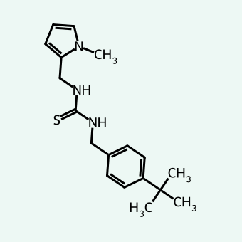 Cn1cccc1CNC(=S)NCc1ccc(C(C)(C)C)cc1